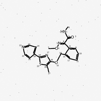 CNC(=O)/C(=N/OC)c1ccccc1COc1nc(-c2ccncc2)sc1C